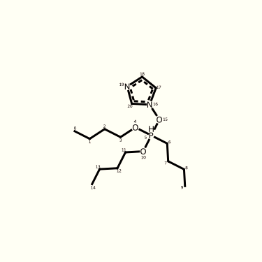 CCCCO[PH](CCCC)(OCCCC)On1ccnc1